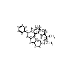 CN[C@@H](C)C(=O)N[C@H](C(=O)N1C(CCc2ccccc2)CC2CCNCC21)C(C)(C)C